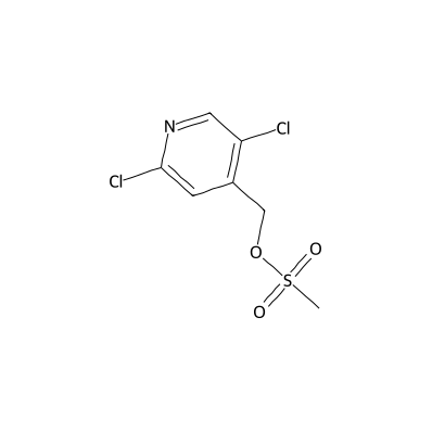 CS(=O)(=O)OCc1cc(Cl)ncc1Cl